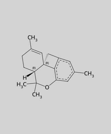 CC1=C[C@@]23Cc4cc(C)cc(c42)OC(C)(C)[C@@H]3CC1